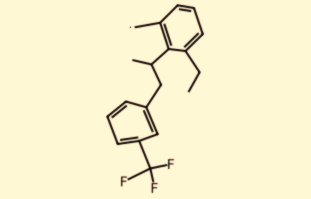 [CH2]c1cccc(CC)c1C(C)Cc1cccc(C(F)(F)F)c1